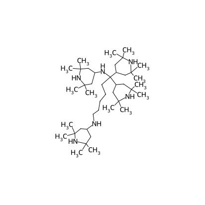 CC1(C)CC(NCCCCCC(NC2CC(C)(C)NC(C)(C)C2)(C2CC(C)(C)NC(C)(C)C2)C2CC(C)(C)NC(C)(C)C2)CC(C)(C)N1